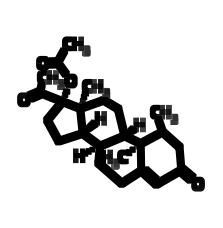 CC(=O)O[C@@]1(C(C)=O)CC[C@H]2[C@@H]3CCC4=CC(=O)CC(C)[C@]4(C)[C@H]3CC[C@@]21C